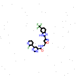 O=C(NCc1cc(-c2nc3ccc(C(F)(F)F)cc3[nH]2)no1)c1cc(-c2cccnc2F)ncn1